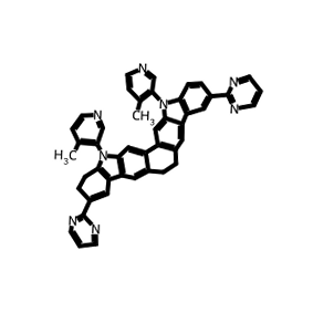 Cc1ccncc1-n1c2c(c3cc4c(cc31)-c1cc3c(cc1CC4)c1cc(-c4ncccn4)ccc1n3-c1cnccc1C)C=C(c1ncccn1)CC2